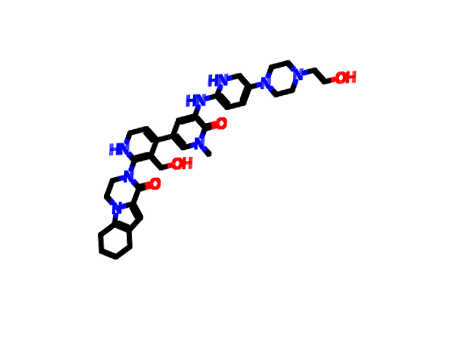 Cn1cc(C2=CCNC(N3CCn4c(cc5c4CCCC5)C3=O)=C2CO)cc(NC2=CC=C(N3CCN(CCO)CC3)CN2)c1=O